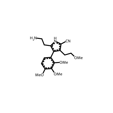 COCCc1c(C#N)[nH]c(CCN)c1-c1ccc(OC)c(OC)c1OC